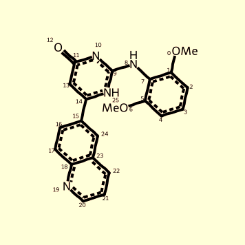 COc1cccc(OC)c1Nc1nc(=O)cc(-c2ccc3ncccc3c2)[nH]1